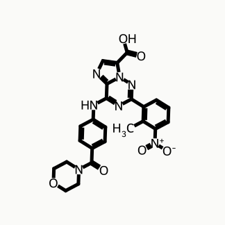 Cc1c(-c2nc(Nc3ccc(C(=O)N4CCOCC4)cc3)c3ncc(C(=O)O)n3n2)cccc1[N+](=O)[O-]